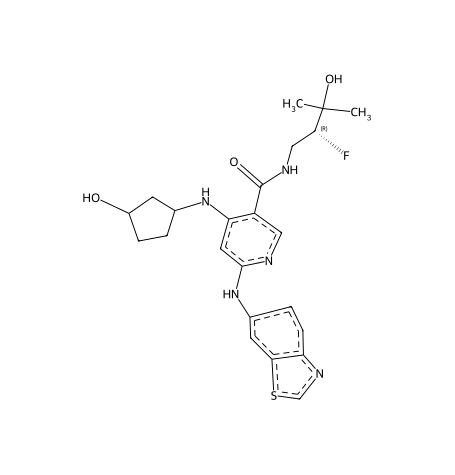 CC(C)(O)[C@H](F)CNC(=O)c1cnc(Nc2ccc3ncsc3c2)cc1NC1CCC(O)C1